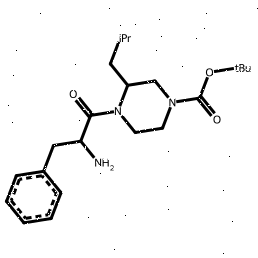 CC(C)CC1CN(C(=O)OC(C)(C)C)CCN1C(=O)C(N)Cc1ccccc1